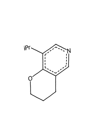 CC(C)c1cncc2c1OCCC2